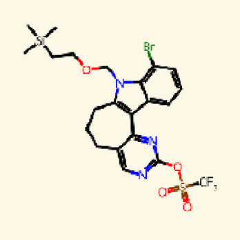 C[Si](C)(C)CCOCn1c2c(c3cccc(Br)c31)-c1nc(OS(=O)(=O)C(F)(F)F)ncc1CCC2